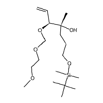 C=C[C@H](OCOCCOC)[C@](C)(O)CCCO[Si](C)(C)C(C)(C)C